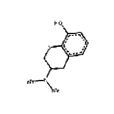 CCCN(CCC)C1CSc2c(O)cccc2C1